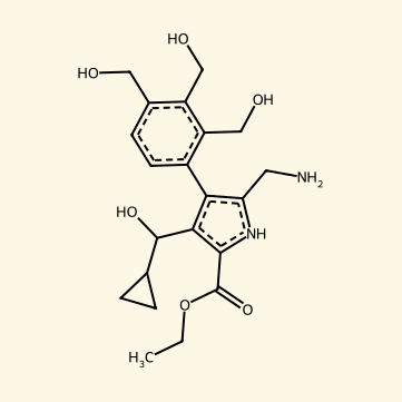 CCOC(=O)c1[nH]c(CN)c(-c2ccc(CO)c(CO)c2CO)c1C(O)C1CC1